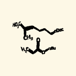 C=CC(=O)OCCCC.CCCCCCCCCCCCCC=C(C)C(=O)O